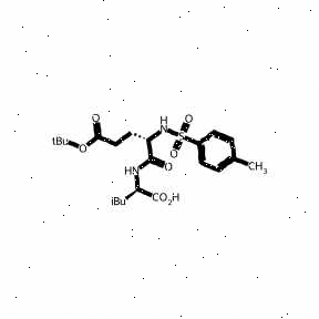 CCC(C)[C@@H](NC(=O)[C@H](CCC(=O)OC(C)(C)C)NS(=O)(=O)c1ccc(C)cc1)C(=O)O